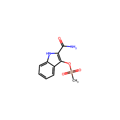 CS(=O)(=O)Oc1c(C(N)=O)[nH]c2ccccc12